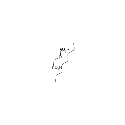 CCCCCCCC.O=C(O)COS(=O)(=O)O